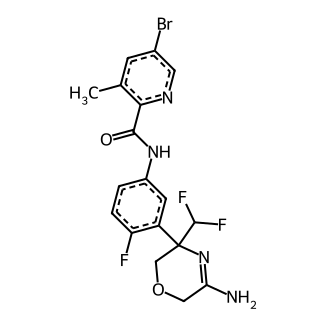 Cc1cc(Br)cnc1C(=O)Nc1ccc(F)c(C2(C(F)F)COCC(N)=N2)c1